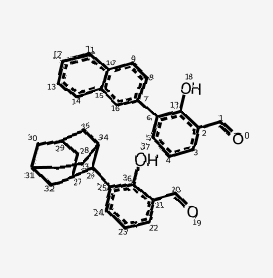 O=Cc1cccc(-c2ccc3ccccc3c2)c1O.O=Cc1cccc(C2C3CC4CC(C3)CC2C4)c1O